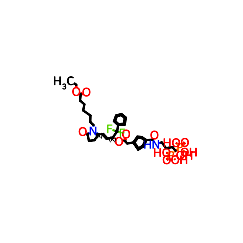 CCOC(=O)CCCCCCN1C(=O)CC[C@@H]1C=C[C@@H](OC(=O)Cc1ccc(C(=O)NCCCC(O)(P(=O)(O)O)P(=O)(O)O)cc1)C(F)(F)c1ccccc1